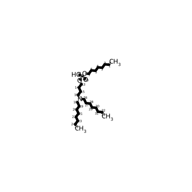 CCCCCCCCOP(=O)(O)OCCCCN(CCCCCCCC)CCCCCCCC